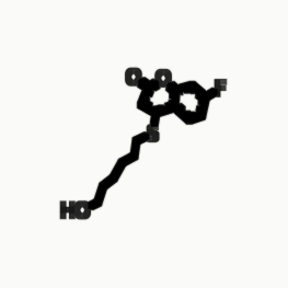 O=c1cc(SCCCCCCO)c2ccc(F)cc2o1